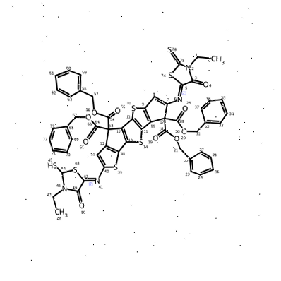 CCN1C(=O)/C(=N/C2=Cc3sc4c5c(sc4c3C2(C(=O)OCc2ccccc2)C(=O)OCc2ccccc2)-c2sc(/N=C3\SC(S)N(CC)C3=O)cc2C5(C(=O)OCc2ccccc2)C(=O)OCc2ccccc2)SC1=S